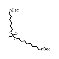 CCCCCCCCCCCCCCCCCCOS(=O)(=O)OCCCCCCCCCCCCCCCC